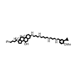 COc1ccc(CNCCCNCCCCNCCCNC2CCC3(C)C(C2)CC(O)C2C3CCC3(C)C2CC[C@@H]3C(I)CCCC(C)C)cc1C1CC1